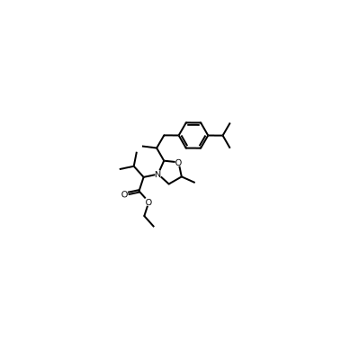 CCOC(=O)C(C(C)C)N1CC(C)OC1C(C)Cc1ccc(C(C)C)cc1